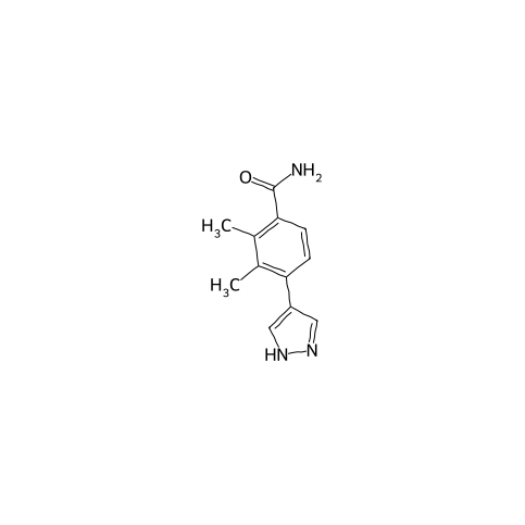 Cc1c(C(N)=O)ccc(-c2cn[nH]c2)c1C